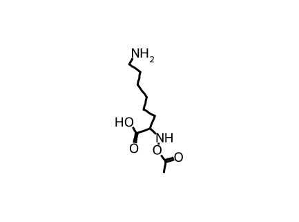 CC(=O)ONC(CCCCCCN)C(=O)O